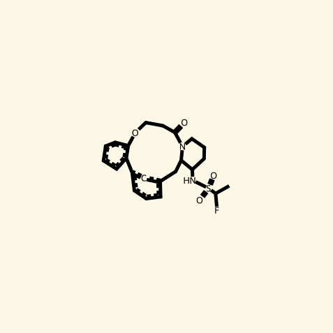 CC(F)S(=O)(=O)NC1CCCN2C(=O)CCOc3ccccc3-c3cccc(c3)CC12